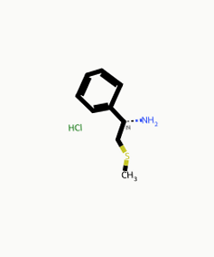 CSC[C@@H](N)c1ccccc1.Cl